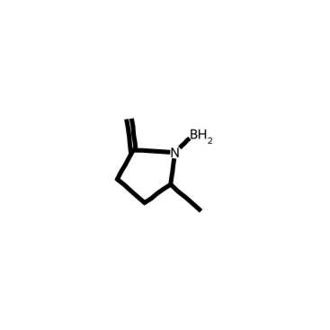 BN1C(=C)CCC1C